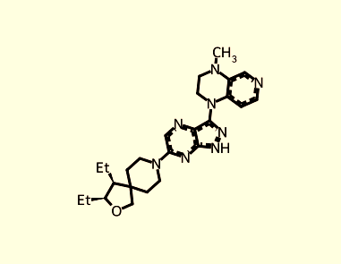 CC[C@@H]1OCC2(CCN(c3cnc4c(N5CCN(C)c6cnccc65)n[nH]c4n3)CC2)[C@@H]1CC